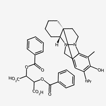 CCCc1c(O)c(C)c2c3c1[C@@]14CCCC[C@H]1N(C3)N2CC4.O=C(OC(C(=O)O)C(OC(=O)c1ccccc1)C(=O)O)c1ccccc1